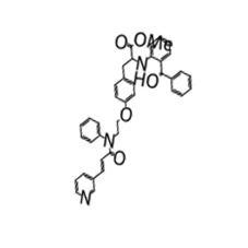 COC(=O)C(Cc1ccc(OCCN(C(=O)C=Cc2cccnc2)c2ccccc2)cc1)Nc1ccccc1C(=O)c1ccccc1